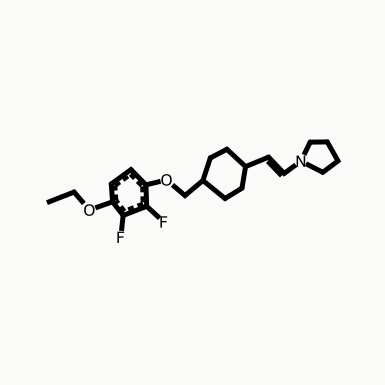 CCOc1ccc(OCC2CCC(/C=C/N3CCCC3)CC2)c(F)c1F